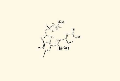 CC(C)(Cc1nc2c(F)c(F)cc(/C(=N/O)Nc3ccc(F)c(Cl)c3)c2[nH]1)O[Si](C)(C)C(C)(C)C